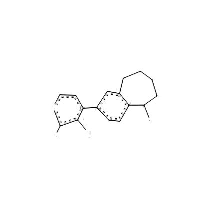 Nc1nccc(-c2ccc3c(c2)CCCCC3N)c1N